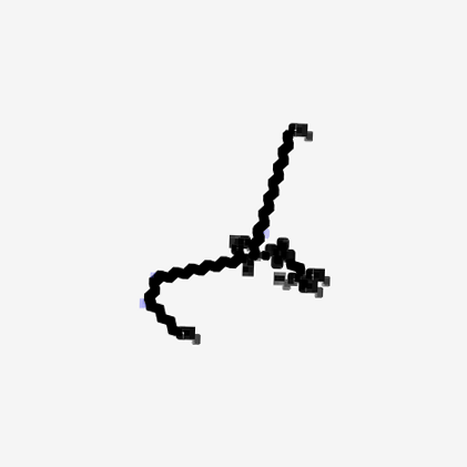 CCCCC/C=C\C/C=C\CCCCCCCCCC(=O)N[C@@H](COP(=O)([O-])OCC[N+](C)(C)C)[C@H](O)/C=C/CCCCCCCCCCCCC